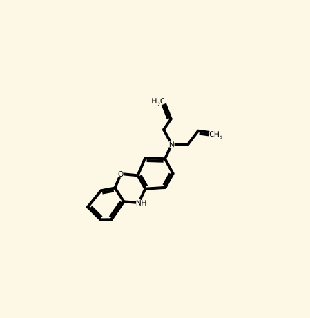 C=CCN(CC=C)c1ccc2c(c1)Oc1ccccc1N2